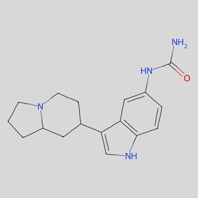 NC(=O)Nc1ccc2[nH]cc(C3CCN4CCCC4C3)c2c1